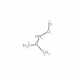 CCONN(C)C